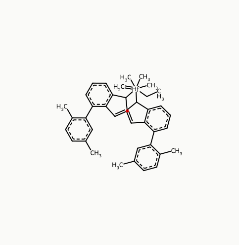 [CH2]=[Hf]([CH3])([CH3])([CH3])([CH2]C)([CH]1C=Cc2c(-c3cc(C)ccc3C)cccc21)[CH]1C=Cc2c(-c3cc(C)ccc3C)cccc21